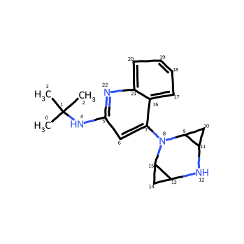 CC(C)(C)Nc1cc(N2C3CC3NC3CC32)c2ccccc2n1